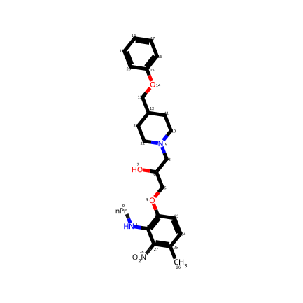 CCCNc1c(OCC(O)CN2CCC(COc3ccccc3)CC2)ccc(C)c1[N+](=O)[O-]